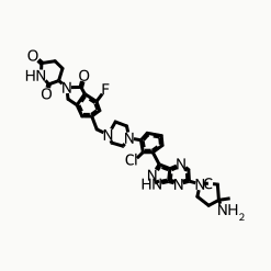 CC1(N)CCN(c2cnc3c(-c4cccc(N5CCN(Cc6cc(F)c7c(c6)CN(C6CCC(=O)NC6=O)C7=O)CC5)c4Cl)n[nH]c3n2)CC1